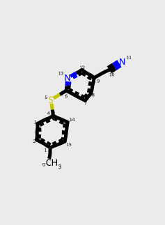 Cc1ccc(Sc2ccc(C#N)cn2)cc1